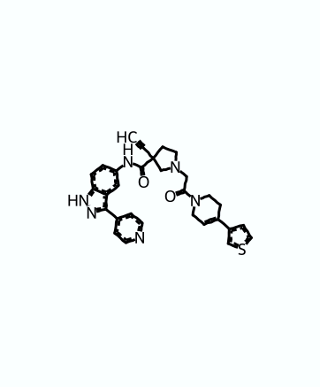 C#CC1(C(=O)Nc2ccc3[nH]nc(-c4ccncc4)c3c2)CCN(CC(=O)N2CC=C(c3ccsc3)CC2)C1